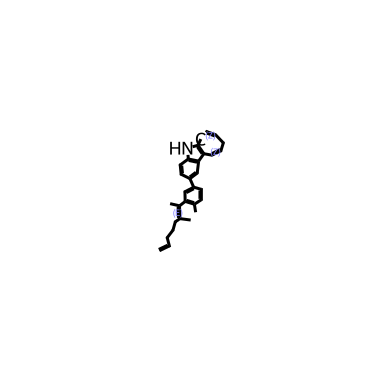 C=CCCC/C(C)=C(\C)c1cc(-c2ccc3[nH]c4c(c3c2)/C=C\C/C=C\C4)ccc1C